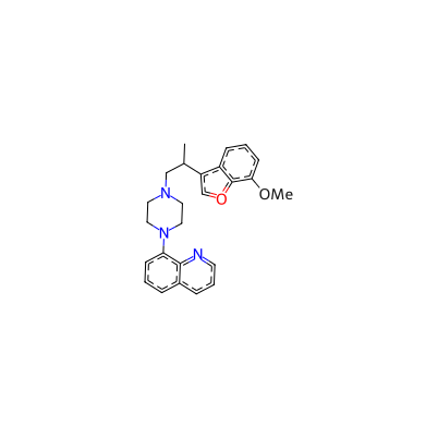 COc1cccc2c(C(C)CN3CCN(c4cccc5cccnc45)CC3)coc12